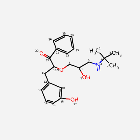 CC(C)(C)NCC(O)COC(Cc1cccc(O)c1)C(=O)c1ccccc1